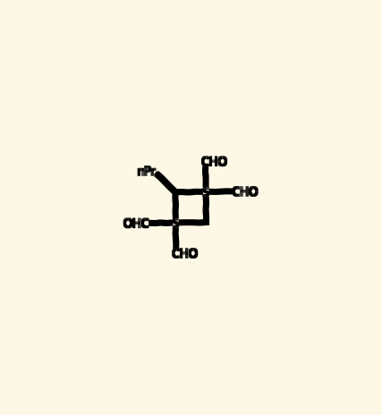 CCCC1S(C=O)(C=O)CS1(C=O)C=O